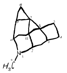 CN1C2C3CCC34C35CC3C1C245